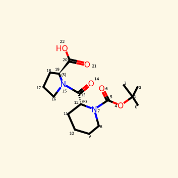 CC(C)(C)OC(=O)N1CCCC[C@@H]1C(=O)N1CCC[C@H]1C(=O)O